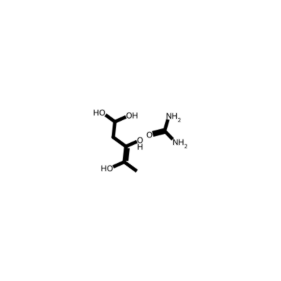 CC(O)=C(O)CC(O)O.NC(N)=O